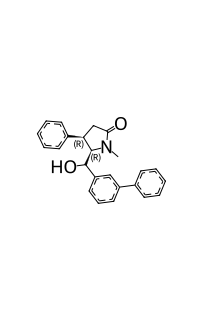 CN1C(=O)C[C@H](c2ccccc2)[C@@H]1C(O)c1cccc(-c2ccccc2)c1